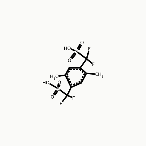 Cc1cc(C(F)(F)S(=O)(=O)O)c(C)cc1C(F)(F)S(=O)(=O)O